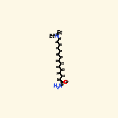 CCN(CC)CCCCCCCCCCCCCCC(N)=O